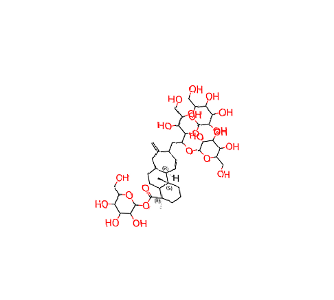 C=C1CC2CCC3[C@](C)(C(=O)OC4OC(CO)C(O)C(O)C4O)CCC[C@@]3(C)[C@@H]2CCC1CC(OC1OC(CO)C(O)C(O)C1O)C(OC1OC(CO)C(O)C(O)C1O)C(O)C(O)CO